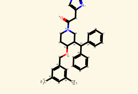 O=C(Cc1c[nH]cn1)N1CCC(OCc2cc(C(F)(F)F)cc(C(F)(F)F)c2)C(C(c2ccccc2)c2ccccc2)C1